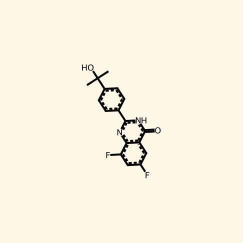 CC(C)(O)c1ccc(-c2nc3c(F)cc(F)cc3c(=O)[nH]2)cc1